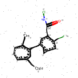 COc1cccc(C)c1-c1ccc(F)c(C(=O)NCl)c1